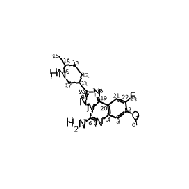 COc1cc2nc(N)n3nc(C4CCC(C)NC4)nc3c2cc1F